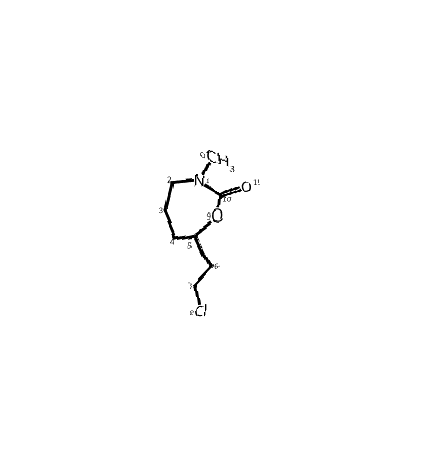 CN1CCCC(CCCl)OC1=O